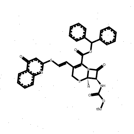 CC(C)(C)OC(=O)N[C@@H]1C(=O)N2C(C(=O)OC(c3ccccc3)c3ccccc3)=C(/C=C/Sc3cc(=O)c4ccccc4s3)CS[C@H]12